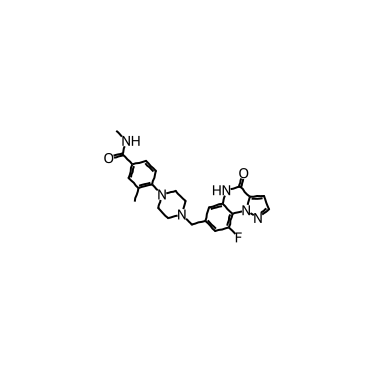 CNC(=O)c1ccc(N2CCN(Cc3cc(F)c4c(c3)[nH]c(=O)c3ccnn34)CC2)c(C)c1